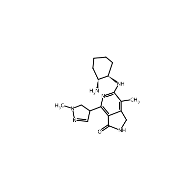 Cc1c(N[C@@H]2CCCC[C@@H]2N)nc(C2C=NN(C)C2)c2c1CNC2=O